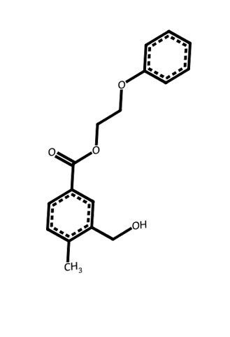 Cc1ccc(C(=O)OCCOc2ccccc2)cc1CO